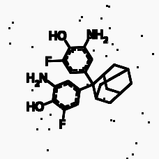 Nc1cc(C2(c3cc(N)c(O)c(F)c3)C3CC4CC(C3)CC2C4)cc(F)c1O